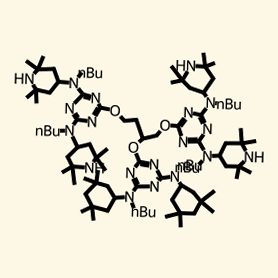 CCCCN(c1nc(OCCC(COc2nc(N(CCCC)C3CC(C)(C)NC(C)(C)C3)nc(N(CCCC)C3CC(C)(C)NC(C)(C)C3)n2)Oc2nc(N(CCCC)C3CC(C)(C)CC(C)(C)C3)nc(N(CCCC)C3CC(C)(C)CC(C)(C)C3)n2)nc(N(CCCC)C2CC(C)(C)NC(C)(C)C2)n1)C1CC(C)(C)NC(C)(C)C1